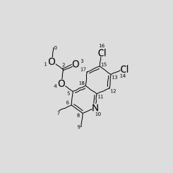 COC(=O)Oc1c(C)c(C)nc2cc(Cl)c(Cl)cc12